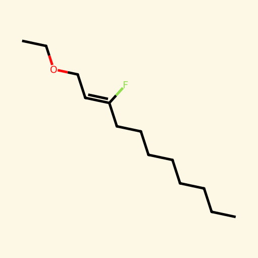 CCCCCCCCC(F)=CCOCC